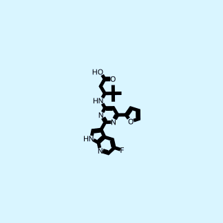 CC(C)(C)C(CC(=O)O)Nc1cc(-c2ccco2)nc(-c2c[nH]c3ncc(F)cc23)n1